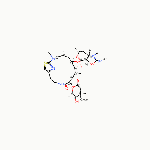 CO[C@]1(C)C[C@H](O[C@H]2[C@H](C)[C@@H](O[C@@H]3O[C@H](C)C[C@H]4[C@H]3O/C(=N/C(C)C)N4C)[C@](C)(O)C[C@@H](C)CN(C)c3nc(cs3)CCNC(=O)[C@@H]2C)O[C@@H](C)[C@@H]1O